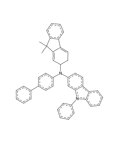 CC1(C)C2=CC(N(c3ccc(-c4ccccc4)cc3)c3ccc4c5ccccc5n(-c5ccccc5)c4c3)CC=C2c2ccccc21